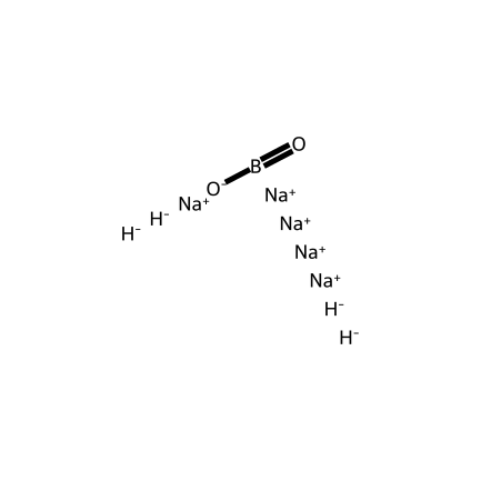 O=B[O-].[H-].[H-].[H-].[H-].[Na+].[Na+].[Na+].[Na+].[Na+]